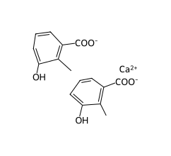 Cc1c(O)cccc1C(=O)[O-].Cc1c(O)cccc1C(=O)[O-].[Ca+2]